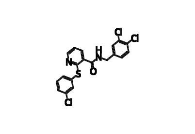 O=C(NCc1ccc(Cl)c(Cl)c1)c1cccnc1Sc1cccc(Cl)c1